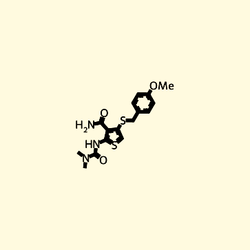 COc1ccc(CSc2csc(NC(=O)N(C)C)c2C(N)=O)cc1